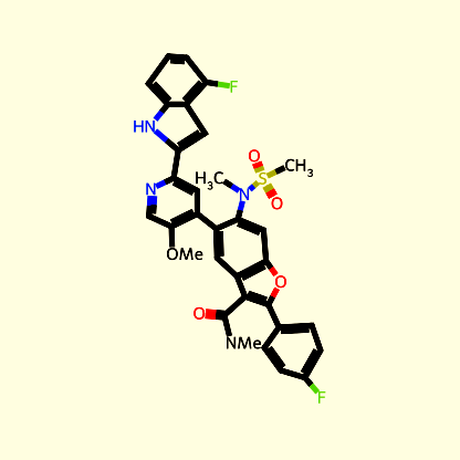 CNC(=O)c1c(-c2ccc(F)cc2)oc2cc(N(C)S(C)(=O)=O)c(-c3cc(-c4cc5c(F)cccc5[nH]4)ncc3OC)cc12